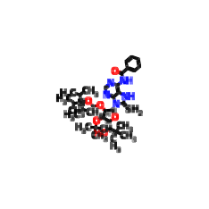 CC(C)[Si](OCO[C@@H]1[C@H](OC(C)(C)C)[C@@H](C(O)C(C)(C)C)O[C@H]1N1C(=[SiH2])Nc2c(NC(=O)c3ccccc3)ncnc21)(C(C)C)C(C)C